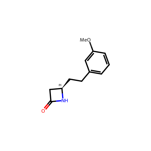 COc1cccc(CC[C@@H]2CC(=O)N2)c1